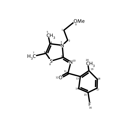 COCCn1c(C)c(C)sc1=NC(=O)c1cc(F)ccc1C